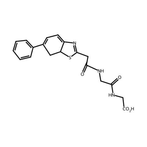 O=C(O)CNC(=O)CNC(=O)CC1=NC2=CC=C(c3ccccc3)CC2S1